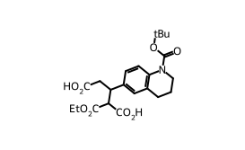 CCOC(=O)C(C(=O)O)C(CC(=O)O)c1ccc2c(c1)CCCN2C(=O)OC(C)(C)C